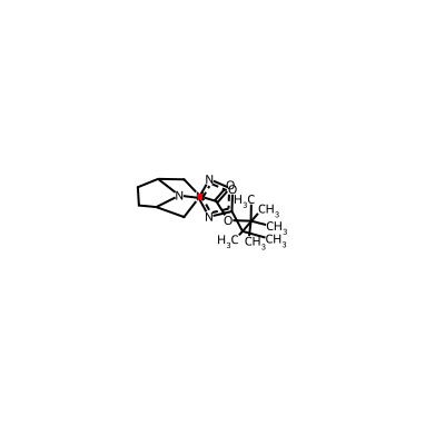 CC(C)(C)OC(=O)N1CC2CCC(C1)N2c1noc(C(C)(C)C)n1